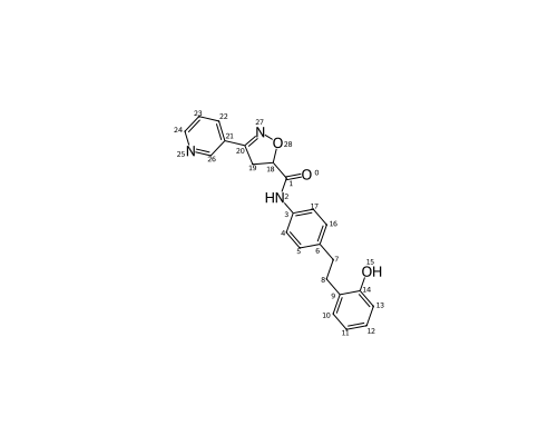 O=C(Nc1ccc(CCc2ccccc2O)cc1)C1CC(c2cccnc2)=NO1